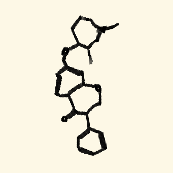 CC1CN(C)CCCC1Oc1ccc2c(c1)OCC(c1ccccc1)C2=O